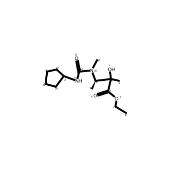 CCOC(=O)C(C)(O)[C@@H](C)N(C)C(=O)NC1CCCC1